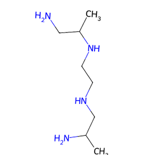 CC(N)CNCCNC(C)CN